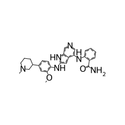 COc1cc(C2CCCN(C)C2)ccc1Nc1cc2c(Nc3ccccc3C(N)=O)cncc2[nH]1